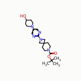 CC(C)(C)OC(=O)N1CCC2(CC1)CN(c1ncc(N3CCC(O)CC3)cn1)C2